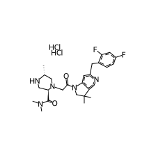 C[C@@H]1CN(CC(=O)N2CC(C)(C)c3cnc(Cc4ccc(F)cc4F)cc32)[C@@H](C(=O)N(C)C)CN1.Cl.Cl